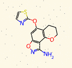 Nc1noc2cc(Oc3nccs3)c3c(c12)OCCC3